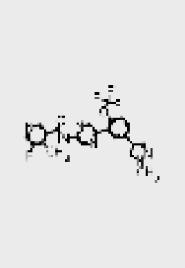 Cc1c(F)cncc1C(=O)Nc1cnc(-c2cc(C3C=NN(C)C3)ccc2OC(F)(F)F)cn1